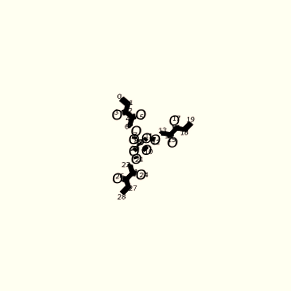 C=CC(=O)C(=O)COOP(=O)(OOCC(=O)C(=O)C=C)OOCC(=O)C(=O)C=C